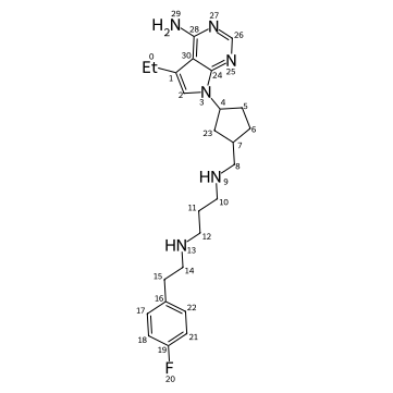 CCc1cn(C2CCC(CNCCCNCCc3ccc(F)cc3)C2)c2ncnc(N)c12